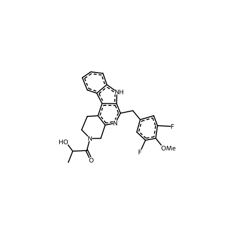 COc1c(F)cc(Cc2nc3c(c4c2[nH]c2ccccc24)CCN(C(=O)C(C)O)C3)cc1F